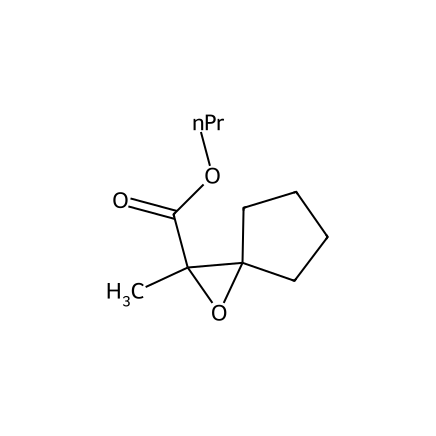 CCCOC(=O)C1(C)OC12CCCC2